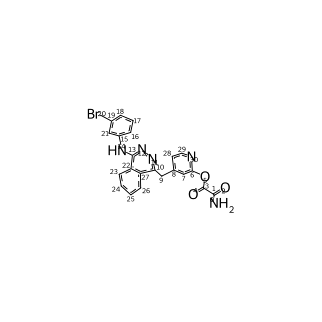 NC(=O)C(=O)Oc1cc(Cc2nnc(Nc3cccc(Br)c3)c3ccccc23)ccn1